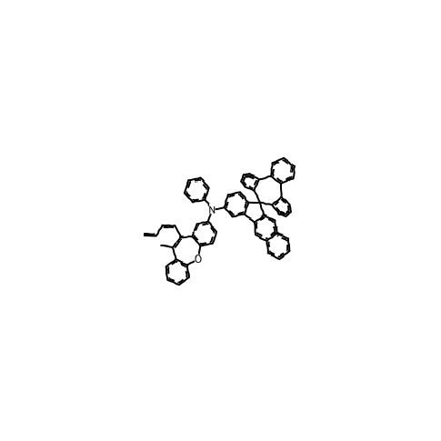 C=C/C=C\C1=C(C)c2ccccc2Oc2ccc(N(c3ccccc3)c3ccc4c(c3)-c3cc5ccccc5cc3C43c4ccccc4-c4ccccc4-c4ccccc43)cc21